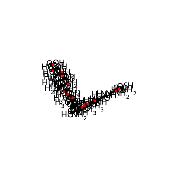 CC(C)C[C@H](N)C(=O)O.CC(C)[C@H](N)C(=O)O.CC(C)[C@H](N)C(=O)O.CC(C)[C@H](N)C(=O)O.CC[C@H](C)[C@H](N)C(=O)O.N=C(N)NCCC[C@H](N)C(=O)O.N=C(N)NCCC[C@H](N)C(=O)O.N=C(N)NCCC[C@H](N)C(=O)O.NC(=O)CC[C@H](N)C(=O)O.NCCCC[C@H](N)C(=O)O.N[C@@H](CC(=O)O)C(=O)O.N[C@@H](CO)C(=O)O.N[C@@H](CS)C(=O)O.N[C@@H](Cc1c[nH]c2ccccc12)C(=O)O.O=C(O)[C@@H]1CCCN1